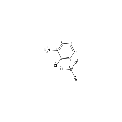 O=[N+]([O-])c1ccccc1Cl.[O-][S+](Cl)Cl